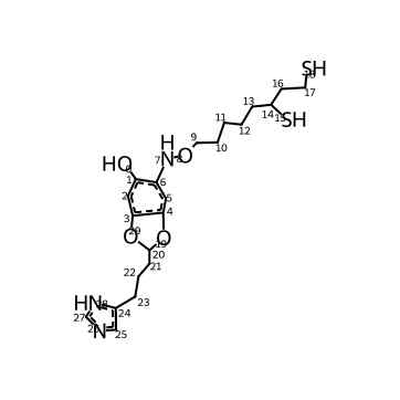 Oc1cc2c(cc1NOCCCCCC(S)CCS)OC(CCCc1cnc[nH]1)O2